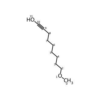 COCCCCCCCC#CO